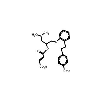 COc1ccc(CCc2ccccc2OCC(CN(C)C)OC(=O)/C=C/C(=O)O)cc1